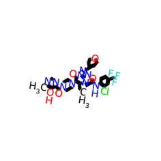 CCc1c(N2CCN(C(=O)c3ncnc(C)c3O)CC2)c(=O)n2nc(C3=CCOCC3)nc2n1CC(=O)Nc1ccc(C(F)(F)F)cc1Cl